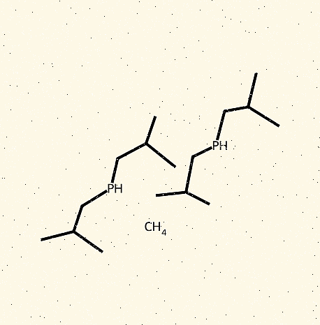 C.CC(C)CPCC(C)C.CC(C)CPCC(C)C